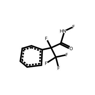 O=C(NF)C(F)(c1ccccc1)C(F)(F)F